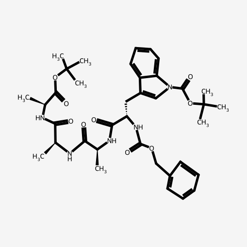 C[C@H](NC(=O)[C@H](C)NC(=O)[C@H](Cc1cn(C(=O)OC(C)(C)C)c2ccccc12)NC(=O)OCc1ccccc1)C(=O)N[C@@H](C)C(=O)OC(C)(C)C